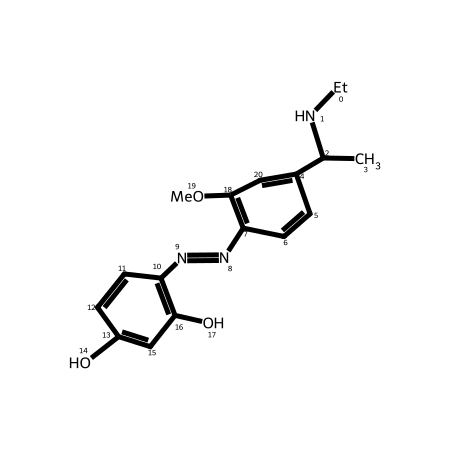 CCNC(C)c1ccc(N=Nc2ccc(O)cc2O)c(OC)c1